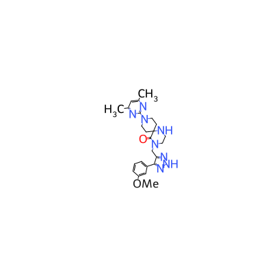 COc1cccc(-c2n[nH]nc2CN2CCNC3(CCN(c4nc(C)cc(C)n4)CC3)C2=O)c1